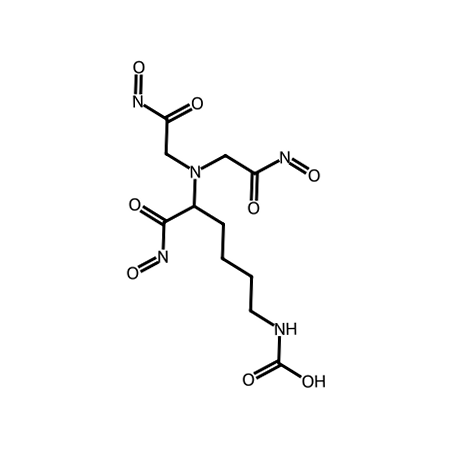 O=NC(=O)CN(CC(=O)N=O)C(CCCCNC(=O)O)C(=O)N=O